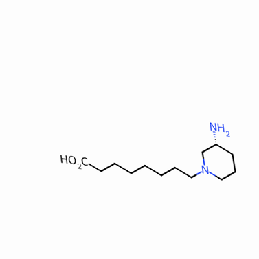 N[C@@H]1CCCN(CCCCCCCC(=O)O)C1